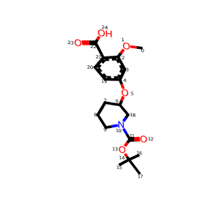 COc1cc(OC2CCCN(C(=O)OC(C)(C)C)C2)ccc1C(=O)O